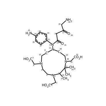 CC1N(CC(=O)O)CCN(CC(=O)O)CCN(N(C(=O)CC(=O)CN)c2ccc(N)cc2)CCN(CC(=O)O)C1(C)C